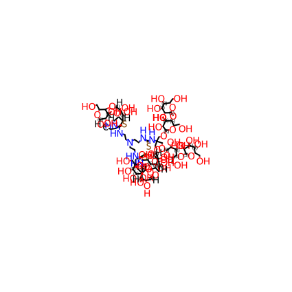 OCC1O[C@@H]2OCCCCC3C(CNC(=S)NCCN(CCNC(=S)NCC4O[C@@H]5OC6C(CO)O[C@H](OCCCCC4[C@H](O)C5O)C(O)[C@H]6O)CCNC(=S)NC(CO[C@@H]4OC(CO)[C@@H](O[C@@H]5OC(CO)[C@H](O)[C@H](O)C5O)[C@H](O)C4O)(CO[C@@H]4OC(CO)[C@@H](O[C@@H]5OC(CO)[C@H](O)[C@H](O)C5O)[C@H](O)C4O)CO[C@@H]4OC(CO)[C@@H](O[C@@H]5OC(CO)[C@H](O)[C@H](O)C5O)[C@H](O)C4O)O[C@H](OC1[C@H](O)C2O)C(O)[C@H]3O